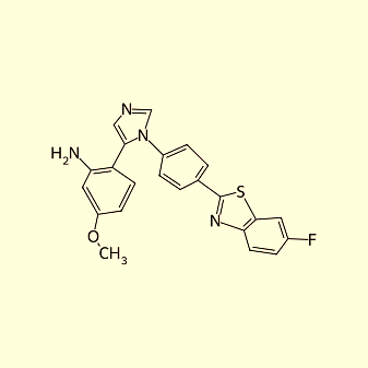 COc1ccc(-c2cncn2-c2ccc(-c3nc4ccc(F)cc4s3)cc2)c(N)c1